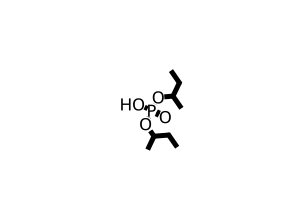 CCC(C)OP(=O)(O)OC(C)CC